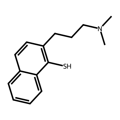 CN(C)CCCc1ccc2ccccc2c1S